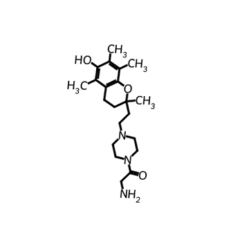 Cc1c(C)c2c(c(C)c1O)CCC(C)(CCN1CCN(C(=O)CN)CC1)O2